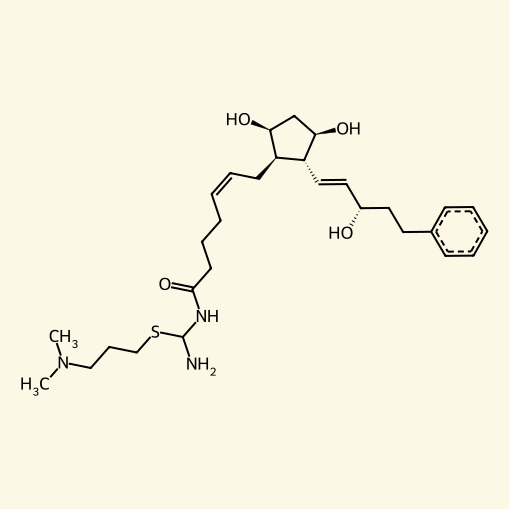 CN(C)CCCSC(N)NC(=O)CCC/C=C\C[C@@H]1[C@@H](/C=C/[C@@H](O)CCc2ccccc2)[C@H](O)C[C@@H]1O